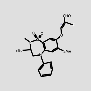 CCCCC1CN(c2ccccc2)c2cc(SC)c(O/C=C(\F)C=O)cc2S(=O)(=O)N1C